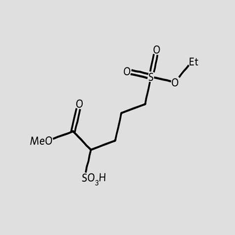 CCOS(=O)(=O)CCCC(C(=O)OC)S(=O)(=O)O